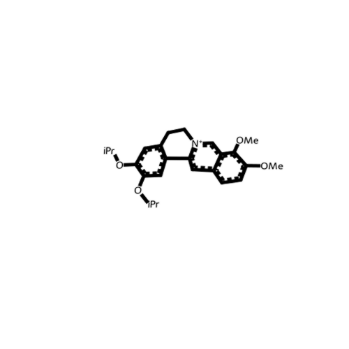 COc1ccc2cc3[n+](cc2c1OC)CCc1cc(OC(C)C)c(OC(C)C)cc1-3